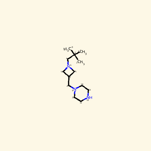 CC(C)(C)CN1CC(CN2CCNCC2)C1